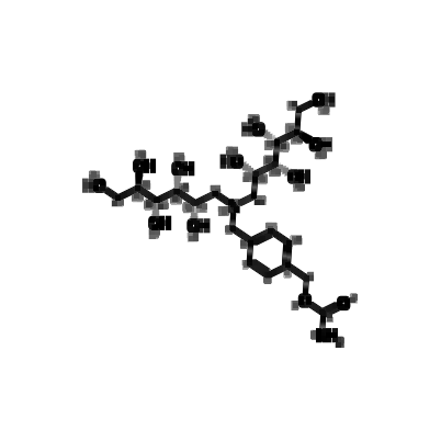 NC(=O)OCc1ccc(CN(C[C@H](O)[C@@H](O)[C@H](O)[C@H](O)CO)C[C@H](O)[C@@H](O)[C@H](O)[C@H](O)CO)cc1